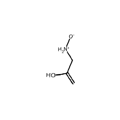 C=C(O)C[NH2+][O-]